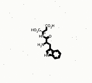 NC(Cc1c[nH]c2ccccc12)C(=O)N[C@@H](CC(=O)O)C(=O)O